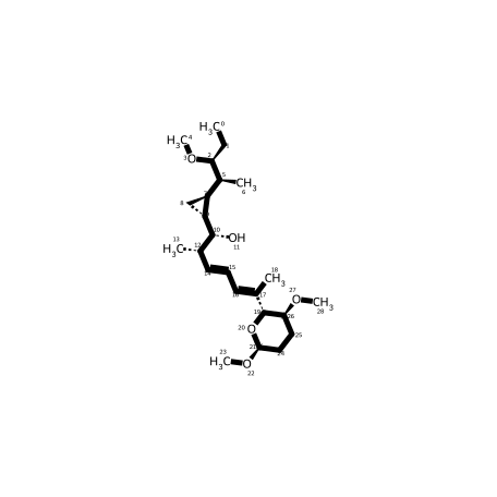 CC[C@H](OC)[C@@H](C)[C@@H]1C[C@H]1[C@H](O)[C@@H](C)/C=C/C=C(\C)[C@H]1O[C@H](OC)CC[C@@H]1OC